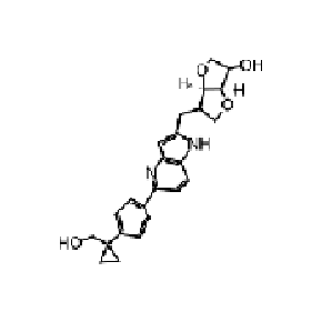 OCC1(c2ccc(-c3ccc4[nH]c(CC5CO[C@@H]6C(O)CO[C@H]56)cc4n3)cc2)CC1